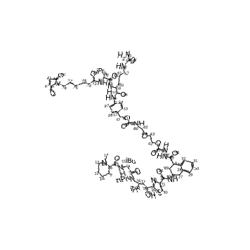 CCCN(C(=O)[C@@H](NC(=O)[C@H]1CCCCN1C)[C@@H](C)CC)C(CC(O)c1nc(C(=O)N[C@H]2Cc3ccccc3[C@H](C(=O)NNC(=O)OCCOCCNC(=O)OCc3ccc(NC(=O)[C@H](CCCNC(N)=O)NC(=O)C(NC(=O)CCCCCN4C(=O)C=CC4=O)C(C)C)cc3)C2)cs1)C(C)C